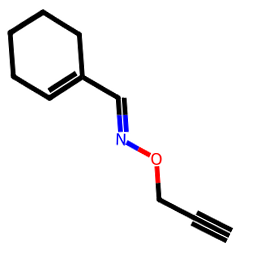 C#CCO/N=[C]/C1=CCCCC1